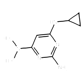 CN(C)c1cc(NC2CC2)nc(N)n1